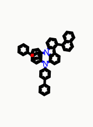 c1ccc(-c2ccc(N(c3ccc(-c4ccccc4)cc3)c3cccc4c5c(-c6cccc7ccccc67)cccc5n(-c5ccccc5)c34)cc2)cc1